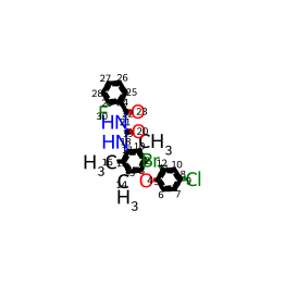 Cc1cc(Oc2ccc(Cl)cc2Br)c(C)c(C)c1NC(=O)NC(=O)c1ccccc1F